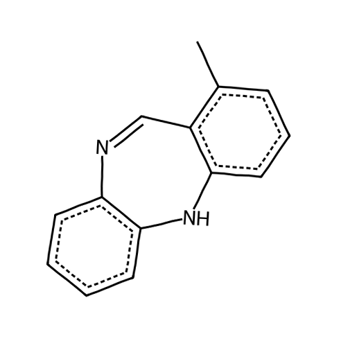 Cc1cccc2c1C=Nc1ccccc1N2